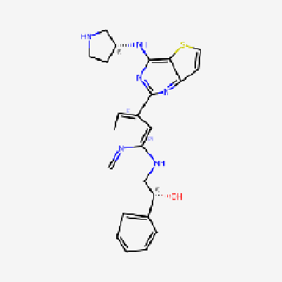 C=N/C(=C\C(=C/C)c1nc(N[C@@H]2CCNC2)c2sccc2n1)NC[C@H](O)c1ccccc1